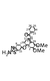 COc1cc2c(Oc3ccc4nc(N)sc4c3)cc[n+](CC(=O)c3ccccc3)c2cc1OC